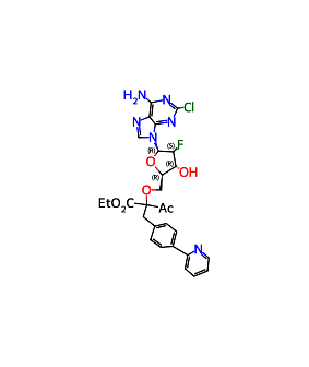 CCOC(=O)C(Cc1ccc(-c2ccccn2)cc1)(OC[C@H]1O[C@@H](n2cnc3c(N)nc(Cl)nc32)[C@@H](F)[C@@H]1O)C(C)=O